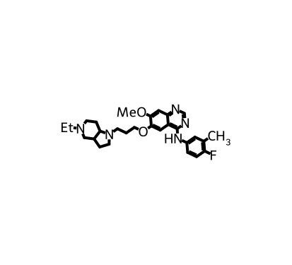 CCN1CCC2C(CCN2CCCOc2cc3c(Nc4ccc(F)c(C)c4)ncnc3cc2OC)C1